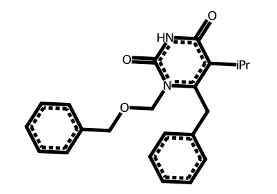 CC(C)c1c(Cc2ccccc2)n(COCc2ccccc2)c(=O)[nH]c1=O